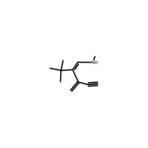 C#CC(=C)/C(=C\NC)C(C)(C)C